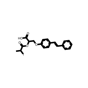 CC(I)C(=O)OC(COc1ccc(/C=C/c2ccccc2)cc1)C(=O)O